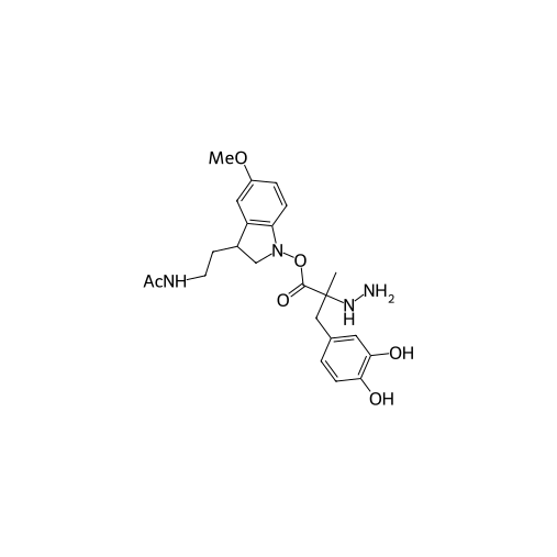 COc1ccc2c(c1)C(CCNC(C)=O)CN2OC(=O)C(C)(Cc1ccc(O)c(O)c1)NN